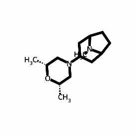 C[C@@H]1CN(C2CC3CCC(C2)N3C)C[C@H](C)O1